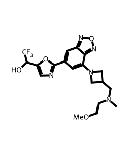 COCCN(C)CC1CN(c2cc(-c3ncc(C(O)C(F)(F)F)o3)cc3nonc23)C1